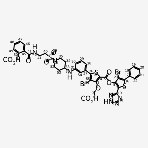 O=C(O)COc1c(C(=O)Oc2c(-c3nn[nH]n3)sc(-c3ccccc3)c2Br)sc(-c2cccc(NC3CCN(S(=O)(=O)CCNC(=O)c4ccccc4C(=O)O)CC3)c2)c1Br